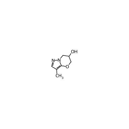 Cc1cnn2c1OCC(O)C2